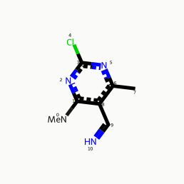 CNc1nc(Cl)nc(C)c1C=N